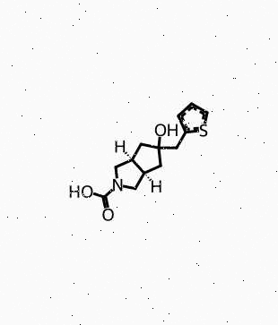 O=C(O)N1C[C@@H]2CC(O)(Cc3cccs3)C[C@@H]2C1